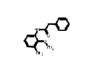 COc1c(N)cccc1NC(=O)Cc1ccccc1